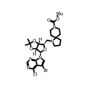 CC(C)(C)OC(=O)N1CCC2(CCCN2C[C@H]2O[C@@H](n3cc(Br)c4c(Cl)ncnc43)[C@@H]3OC(C)(C)O[C@@H]32)CC1